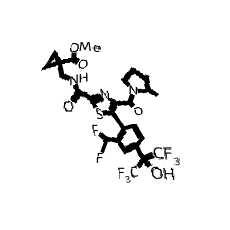 COC(=O)C1(CNC(=O)c2nc(C(=O)N3CCCC3C)c(-c3ccc(C(O)(C(F)(F)F)C(F)(F)F)cc3C(F)F)s2)CC1